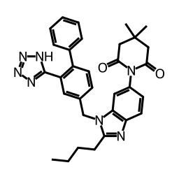 CCCCc1nc2ccc(N3C(=O)CC(C)(C)CC3=O)cc2n1Cc1ccc(-c2ccccc2)c(-c2nnn[nH]2)c1